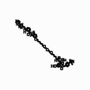 Cc1ncsc1-c1ccc(CNC(=O)[C@@H]2C[C@@H](O)CN2C(=O)[C@@H](NC(=O)CCCCCOCCOCCOCCCCCCOc2ccc(F)c([C@@H](C)NC(=O)c3cccc(NCc4nnc(-c5ccncn5)n4C)c3)c2)C(C)(C)C)cc1